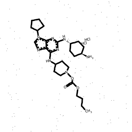 CCCCOC(=O)ON1CCC(Nc2nc(N[C@H]3CC[C@H](N)CC3)nc3c2ncn3C2CCCC2)CC1.Cl.Cl